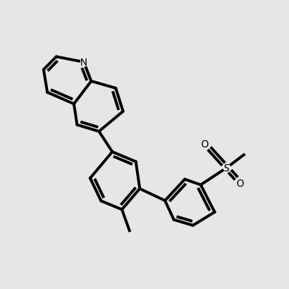 Cc1ccc(-c2ccc3ncccc3c2)cc1-c1cccc(S(C)(=O)=O)c1